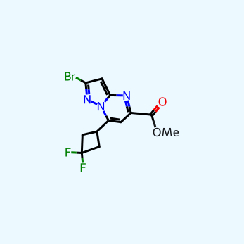 COC(=O)c1cc(C2CC(F)(F)C2)n2nc(Br)cc2n1